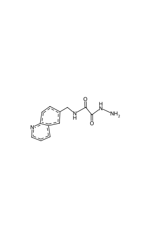 NNC(=O)C(=O)NCc1ccc2ncccc2c1